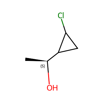 C[C@H](O)C1CC1Cl